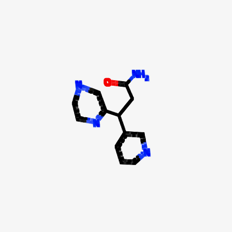 NC(=O)CC(c1cccnc1)c1cnccn1